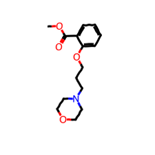 COC(=O)c1ccccc1OCCCN1CCOCC1